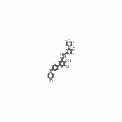 CN1CCN(Cc2ccc(-c3cc(Cl)c(O)c(/C=N/Nc4ncc(F)c(N5CCOCC5)n4)c3)cc2)CC1